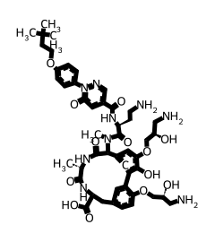 C[C@@H]1NC(=O)C(N(C)C(=O)[C@H](CCN)NC(=O)c2cnn(-c3ccc(OCCC(C)(C)C)cc3)c(=O)c2)c2cc(OC[C@H](O)CN)c(O)c(c2)-c2cc(ccc2OC[C@H](O)CN)CC(C(=O)O)NC1=O